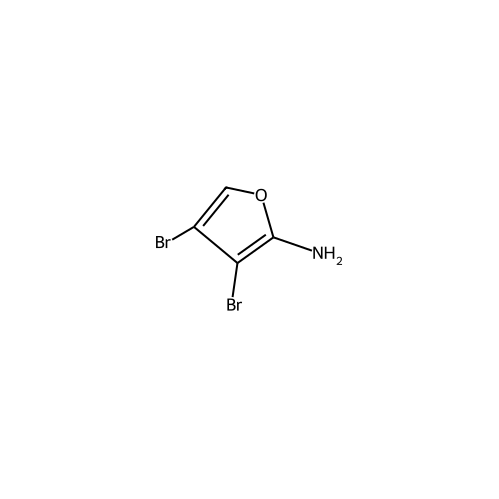 Nc1occ(Br)c1Br